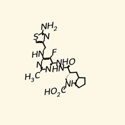 Cc1nc(NCc2csc(N)n2)c(F)c(NNC(=O)[C@@H](CNC(=O)O)CC2CCCC2)n1